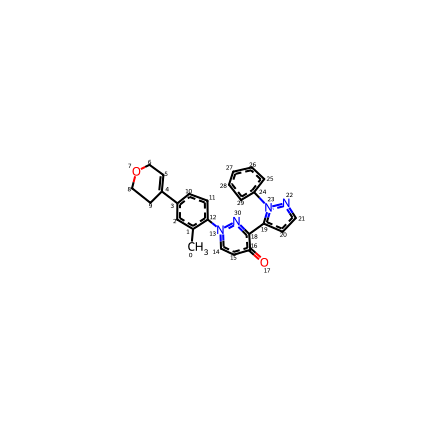 Cc1cc(C2=CCOCC2)ccc1-n1ccc(=O)c(-c2ccnn2-c2ccccc2)n1